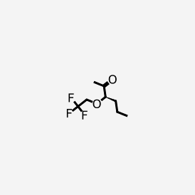 CCC[C@@H](OCC(F)(F)F)C(C)=O